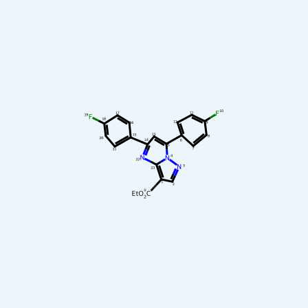 CCOC(=O)c1cnn2c(-c3ccc(F)cc3)cc(-c3ccc(F)cc3)nc12